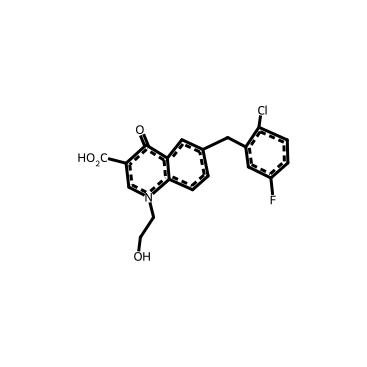 O=C(O)c1cn(CCO)c2ccc(Cc3cc(F)ccc3Cl)cc2c1=O